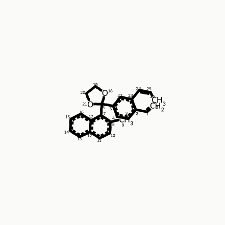 C=Cc1ccc(C2(c3c(C)ccc4ccccc34)OCCO2)cc1/C=C\C